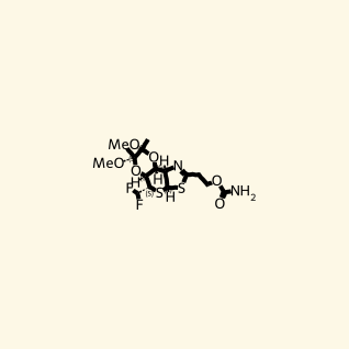 CO[C@@]1(C)O[C@@H]2[C@H]3N=C(CCOC(N)=O)S[C@H]3S[C@H](C(F)F)[C@H]2O[C@]1(C)OC